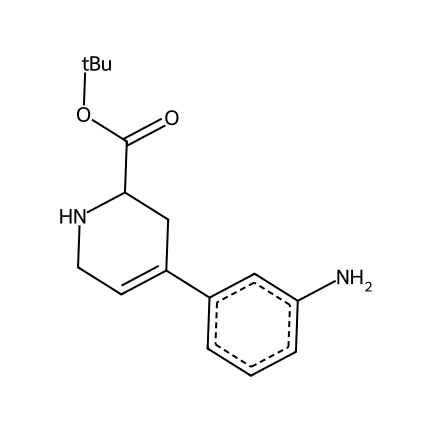 CC(C)(C)OC(=O)C1CC(c2cccc(N)c2)=CCN1